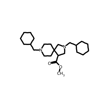 COC(=O)C1CN(CC2CCCCC2)CC12CCN(CC1CCCCC1)CC2